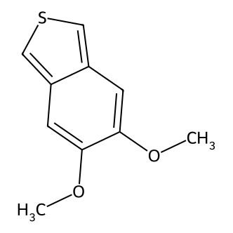 COc1cc2cscc2cc1OC